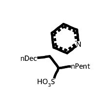 CCCCCCCCCCCC(CCCCC)S(=O)(=O)O.c1ccncc1